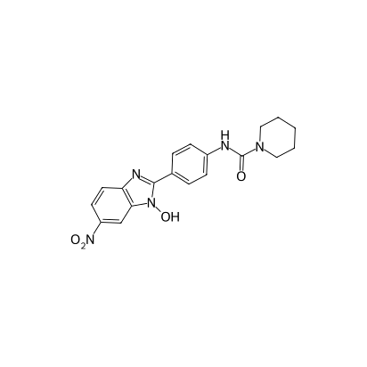 O=C(Nc1ccc(-c2nc3ccc([N+](=O)[O-])cc3n2O)cc1)N1CCCCC1